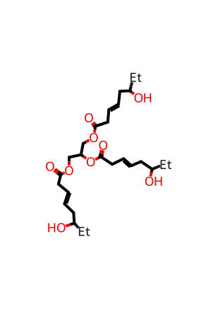 CCC(O)CC=CCC(=O)OCC(COC(=O)CC=CCC(O)CC)OC(=O)CC=CCC(O)CC